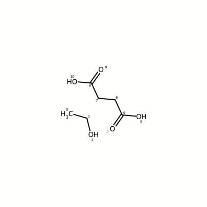 CCO.O=C(O)CCC(=O)O